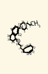 CCCN1CCN(c2ccc3c(c2)C(OCCCc2ccccc2)CCC3)CC1